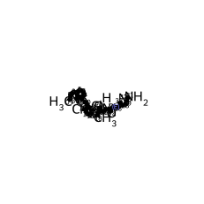 Cc1ccc2cccc(OCc3c(Cl)ccc(N(C)C(=O)CNC(=O)/C=C/c4ccc(N)nc4)c3Cl)c2n1